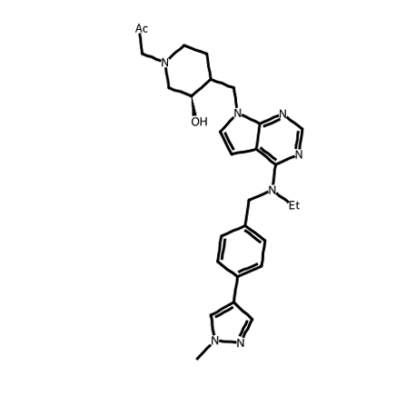 CCN(Cc1ccc(-c2cnn(C)c2)cc1)c1ncnc2c1ccn2CC1CCN(CC(C)=O)C[C@@H]1O